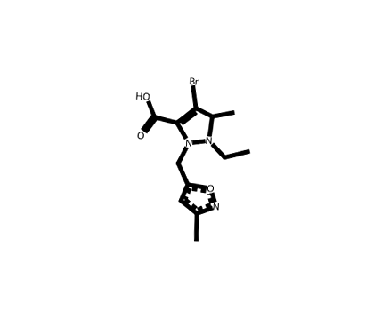 CCN1C(C)C(Br)=C(C(=O)O)N1Cc1cc(C)no1